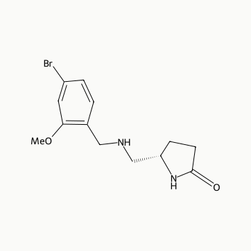 COc1cc(Br)ccc1CNC[C@@H]1CCC(=O)N1